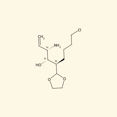 C=C[C@H](N)[C@@H](O)[C@@H](CCCCCl)C1OCCO1